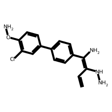 C=C/C(NN)=C(/N)c1ccc(-c2ccc(ON)c(Cl)c2)cc1